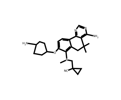 CN(CC1(C#N)CC1)c1c(OC2CCC(N)CC2)ccc2c1CC(C)(C)c1c(N)ncnc1-2